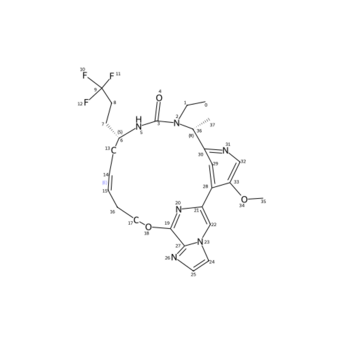 CCN1C(=O)N[C@@H](CCC(F)(F)F)C/C=C/CCOc2nc(cn3ccnc23)-c2cc(ncc2OC)[C@H]1C